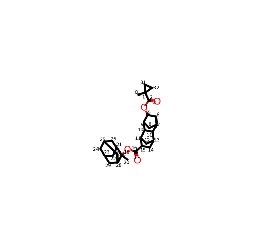 CC1(C(=O)OC2CC3CC2C2C4CC(CC4C(=O)OC4(C)C5CC6CC(C5)CC4C6)C32)CC1